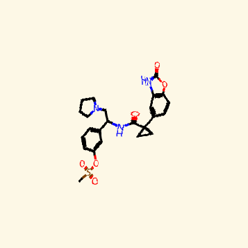 CS(=O)(=O)Oc1cccc(C(CN2CCCC2)NC(=O)C2(c3ccc4oc(=O)[nH]c4c3)CC2)c1